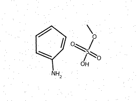 COS(=O)(=O)O.Nc1ccccc1